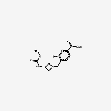 COC(=O)c1ccc(CN2CC(NC(=O)OC(C)(C)C)C2)c(Cl)n1